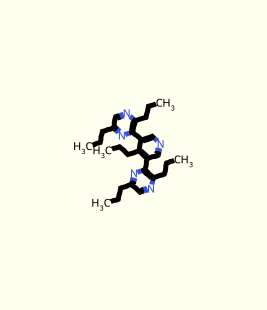 CCCc1cnc(CCC)c(-c2cncc(-c3nc(CCC)cnc3CCC)c2CCC)n1